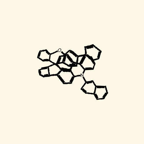 c1ccc(-c2ccc3c(c2)Oc2ccccc2C32c3ccccc3-c3ccc(N(c4ccc5ccccc5c4)c4ccccc4-c4ccccc4)cc32)cc1